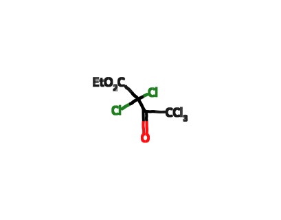 CCOC(=O)C(Cl)(Cl)C(=O)C(Cl)(Cl)Cl